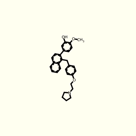 COc1ccc(-c2ccc3ccccc3c2Cc2ccc(OCCN3CCCC3)cc2)cc1O